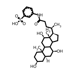 C[C@H](CCC(=O)Nc1cccc(S(=O)(=O)O)c1)[C@H]1CCC2C3C(C[C@@H](O)[C@@]21C)[C@@]1(C)CC[C@H](O)C[C@@H]1C[C@@H]3O